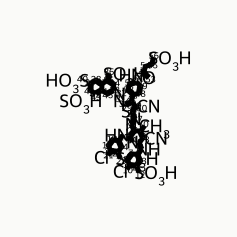 Cc1c(C#N)c(Nc2ccc(Cl)c(S(=O)(=O)O)c2)nc(Nc2ccc(Cl)c(S(=O)(=O)O)c2)c1N=Nc1sc(N=Nc2cc(S(=O)(=O)O)c3cc(S(=O)(=O)O)cc(S(=O)(=O)O)c3c2)c(-c2ccc(NC(=O)CCS(=O)(=O)O)cc2)c1C#N